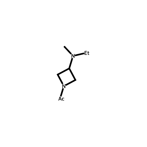 [CH2]CN(C)C1CN(C(C)=O)C1